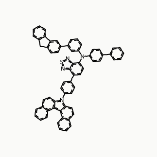 c1ccc(-c2ccc(N(c3cccc(-c4ccc5c(c4)-c4ccccc4C5)c3)c3ccc(-c4ccc(-n5c6ccc7ccccc7c6c6c7ccccc7ccc65)cc4)c4nsnc34)cc2)cc1